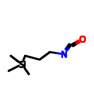 C[Si](C)(C)CCCN=C=O